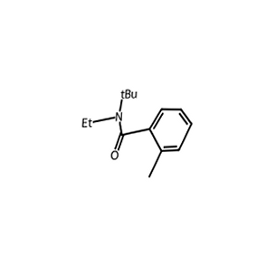 CCN(C(=O)c1ccccc1C)C(C)(C)C